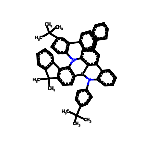 CC(C)(C)c1ccc(N2B3c4ccc5c(c4N(c4ccc(C(C)(C)C)cc4-c4ccccc4)c4cc(-c6ccccc6)cc(c43)-c3ccccc32)-c2ccccc2C5(C)C)cc1